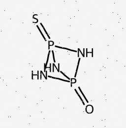 O=P12NP(=S)(N1)N2